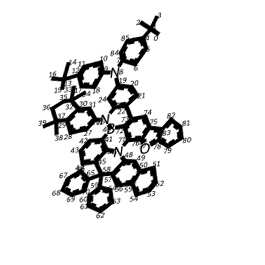 CC(C)(C)c1ccc(N(c2ccc(C(C)(C)C)cc2)c2ccc3c(c2)N(c2ccc4c(c2)C(C)(C)CCC4(C)C)B2c4cccc5c4N(c4cc6ccccc6cc4C5(c4ccccc4)c4ccccc4)c4c2c-3cc2c4oc3ccccc32)cc1